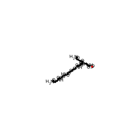 CC(=O)SCC(=O)NCCCC[C@@H](NC(=O)CCCC(=O)NCCOCCCOCCOCC(=O)NCCOCCOCC(=O)NCCCC[C@H](C)C(N)=O)C(=O)NCCCC[C@@H](C)C(N)=O